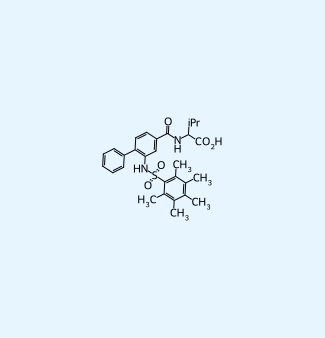 Cc1c(C)c(C)c(S(=O)(=O)Nc2cc(C(=O)NC(C(=O)O)C(C)C)ccc2-c2ccccc2)c(C)c1C